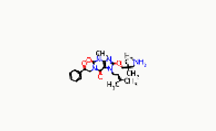 CC(C)=CCn1c(OCC(C)(C)CN)nc2c1c(=O)n(CC(=O)c1ccccc1)c(=O)n2C